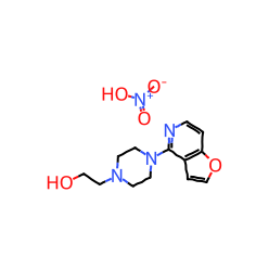 O=[N+]([O-])O.OCCN1CCN(c2nccc3occc23)CC1